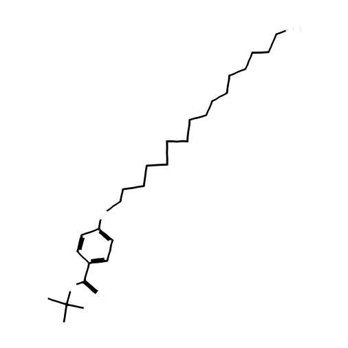 CC(C)(C)OC(=O)c1ccc(OCCCCCCCCCCCCCCCCO)cc1